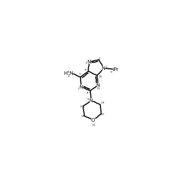 CC(C)n1cnc2c(N)nc(N3CCOCC3)nc21